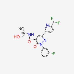 N#C[C@@H](CO)NC(=O)c1cc(-c2ccc(C(F)F)nc2)nn(-c2cccc(F)c2)c1=O